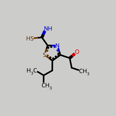 CCC(=O)c1nc(C(=N)S)sc1CC(C)C